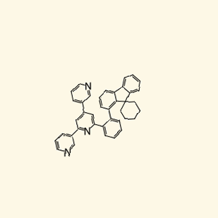 c1cncc(-c2cc(-c3cccnc3)nc(-c3ccccc3-c3cccc4c3C3(CCCCC3)c3ccccc3-4)c2)c1